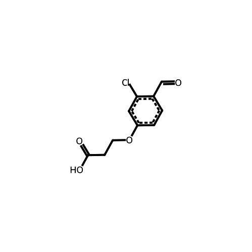 O=Cc1ccc(OCCC(=O)O)cc1Cl